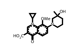 COc1c(N2CCCC(C)(O)C2)ccc2c(=O)c(C(=O)O)cn(C3CC3)c12